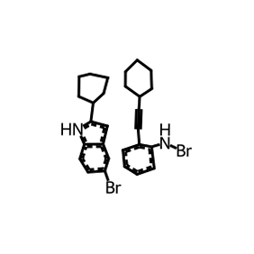 BrNc1ccccc1C#CC1CCCCC1.Brc1ccc2[nH]c(C3CCCCC3)cc2c1